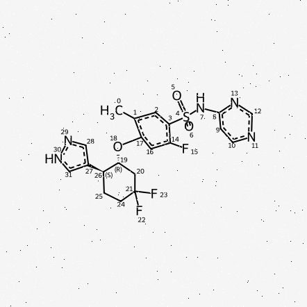 Cc1cc(S(=O)(=O)Nc2ccncn2)c(F)cc1O[C@@H]1CC(F)(F)CC[C@H]1c1cn[nH]c1